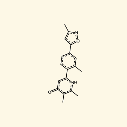 Cc1cc(-c2ccc(-c3cc(=O)c(C)c(C)[nH]3)c(C)c2)on1